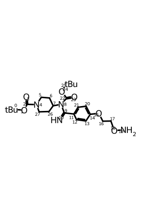 CC(C)(C)OC(=O)N1CCC(N(C(=N)c2ccc(OCCON)cc2)C(=O)OC(C)(C)C)CC1